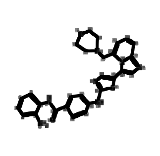 Nc1ccccc1NC(=O)c1ccc(Nc2ncc(-c3cnc4cccc(CN5CCOCC5)n34)s2)cc1